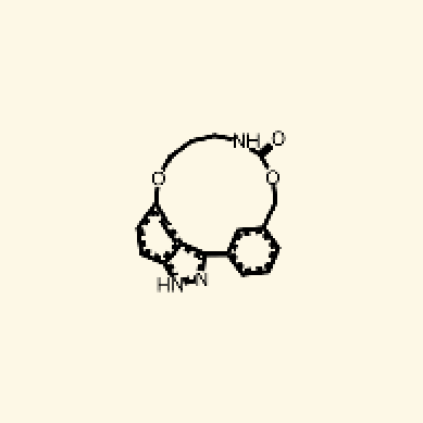 O=C1NCCCOc2ccc3[nH]nc(c3c2)-c2cccc(c2)CO1